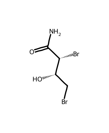 NC(=O)[C@H](Br)[C@@H](O)CBr